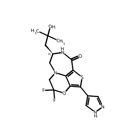 CC(C)(O)C[C@@H]1CN2CC(F)(F)Oc3c(-c4cn[nH]c4)sc(c32)C(=O)N1